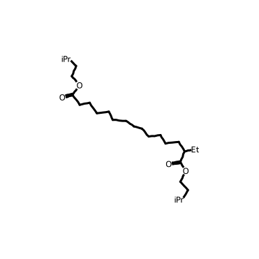 CCC(CCCCCCCCCCCCC(=O)OCCC(C)C)C(=O)OCCC(C)C